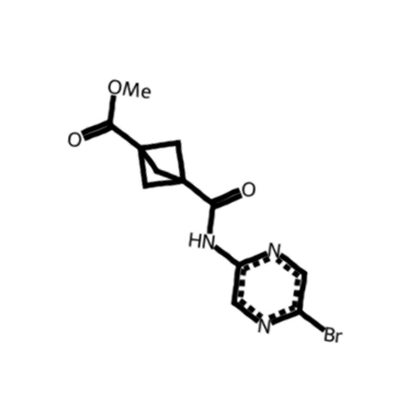 COC(=O)C12CC(C(=O)Nc3cnc(Br)cn3)(C1)C2